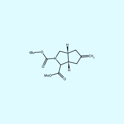 C=C1C[C@H]2CN(C(=O)OC(C)(C)C)C(C(=O)OC)[C@H]2C1